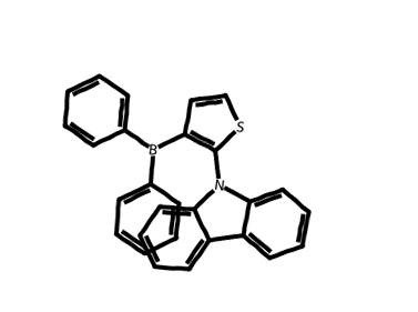 c1ccc(B(c2ccccc2)c2ccsc2-n2c3ccccc3c3ccccc32)cc1